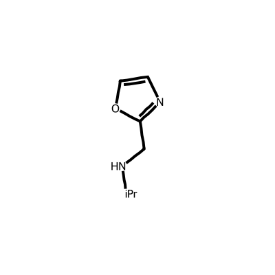 CC(C)NCc1ncco1